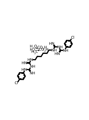 CC(=O)O.CC(=O)O.N=C(NCCCCCCNC(=N)NC(=N)Nc1ccc(Cl)cc1)NC(=N)Nc1ccc(Cl)cc1.O